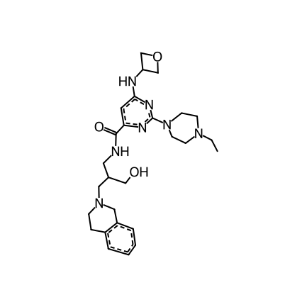 CCN1CCN(c2nc(NC3COC3)cc(C(=O)NCC(CO)CN3CCc4ccccc4C3)n2)CC1